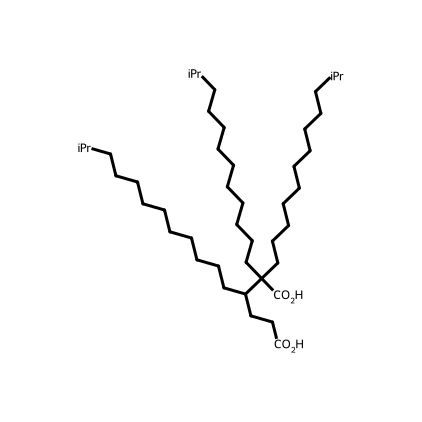 CC(C)CCCCCCCCCCC(CCC(=O)O)C(CCCCCCCCCCC(C)C)(CCCCCCCCCCC(C)C)C(=O)O